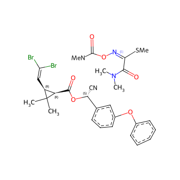 CC1(C)[C@H](C(=O)O[C@H](C#N)c2cccc(Oc3ccccc3)c2)[C@@H]1C=C(Br)Br.CNC(=O)O/N=C(/SC)C(=O)N(C)C